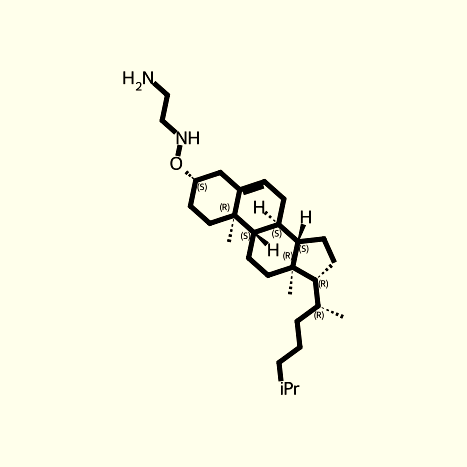 CC(C)CCC[C@@H](C)[C@H]1CC[C@H]2[C@@H]3CC=C4C[C@@H](ONCCN)CC[C@]4(C)[C@H]3CC[C@]12C